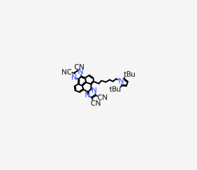 CC(C)(C)c1ccc(C(C)(C)C)n1CCCCCCc1ccc2c3nc(C#N)c(C#N)nc3c3cccc4c5nc(C#N)c(C#N)nc5c1c2c34